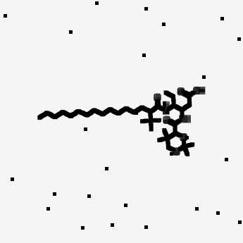 CCCCCCCCCCCCCCC(C(=O)NC(CC)C(CC(=O)O)NC(=O)C1OC(C)(C)OCC1(C)C)C(C)(C)C